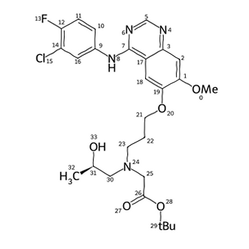 COc1cc2ncnc(Nc3ccc(F)c(Cl)c3)c2cc1OCCCN(CC(=O)OC(C)(C)C)C[C@@H](C)O